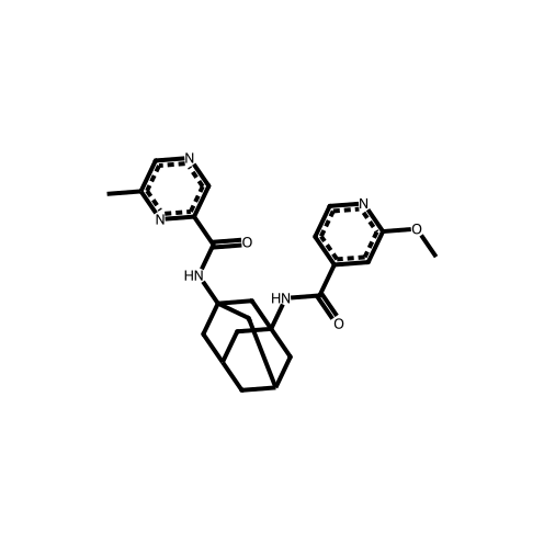 COc1cc(C(=O)NC23CC4CC(C2)CC(NC(=O)c2cncc(C)n2)(C4)C3)ccn1